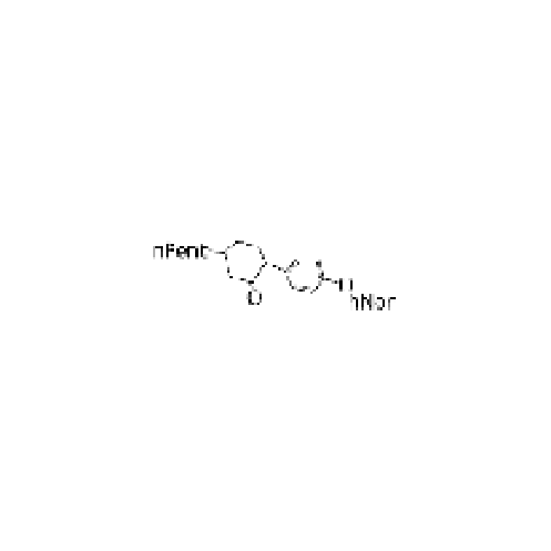 CCCCCCCCCOc1ccc(C2CCC(CCCCC)CC2=O)cc1